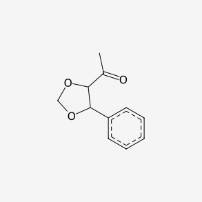 CC(=O)C1OCOC1c1ccccc1